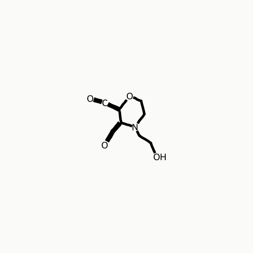 O=C=C1OCCN(CCO)C1=C=O